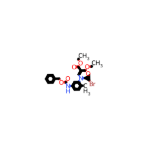 CCOC(=O)C(=CN(c1cc(NC(=O)OCc2ccccc2)ccc1C)C1CC1Br)C(=O)OCC